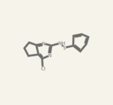 Clc1nc(NSc2ccccc2)nc2c1CCC2